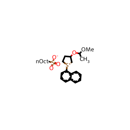 CCCCCCCCS(=O)(=O)[O-].COC(C)OC1CC[S+](c2cccc3ccccc23)C1